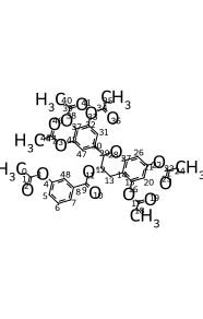 CC(=O)Oc1cccc(C(=O)O[C@H]2Cc3c(OC(C)=O)cc(OC(C)=O)cc3O[C@@H]2c2cc(OC(C)=O)c(OC(C)=O)c(OC(C)=O)c2)c1